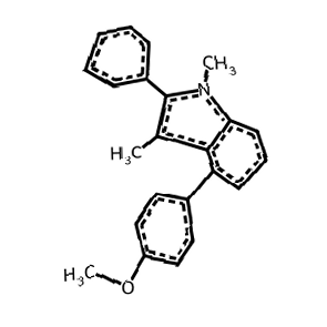 COc1ccc(-c2cccc3c2c(C)c(-c2ccccc2)n3C)cc1